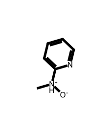 C[NH+]([O-])c1ccccn1